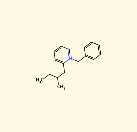 CCC(C)Cc1cccc[n+]1Cc1ccccc1